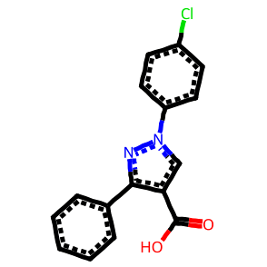 O=C(O)c1cn(-c2ccc(Cl)cc2)nc1-c1ccccc1